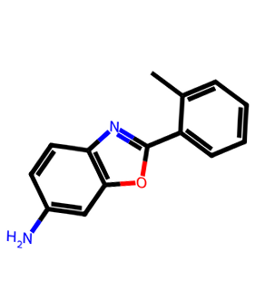 Cc1ccccc1-c1nc2ccc(N)cc2o1